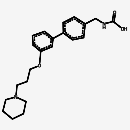 O=C(O)NCc1ccc(-c2cccc(OCCCN3CCCCC3)c2)cc1